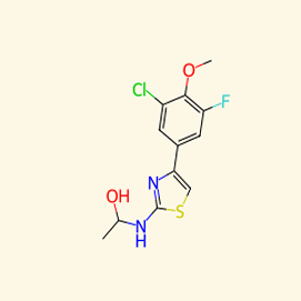 COc1c(F)cc(-c2csc(NC(C)O)n2)cc1Cl